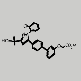 CC(C)(O)c1cc(-c2ccc(-c3cccc(OCC(=O)O)c3)cc2)n(-c2ccccc2Cl)n1